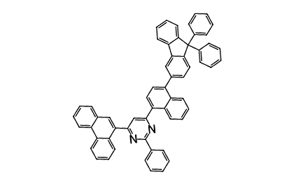 c1ccc(-c2nc(-c3ccc(-c4ccc5c(c4)-c4ccccc4C5(c4ccccc4)c4ccccc4)c4ccccc34)cc(-c3cc4ccccc4c4ccccc34)n2)cc1